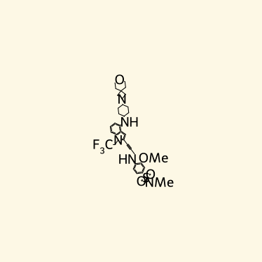 CNS(=O)(=O)c1ccc(NCC#Cc2cc3c(N[C@H]4CC[C@@H](N5CC6(CCOCC6)C5)CC4)cccc3n2CC(F)(F)F)c(OC)c1